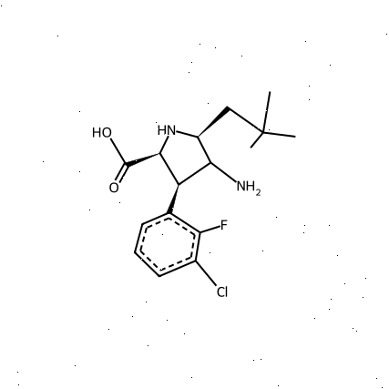 CC(C)(C)C[C@@H]1N[C@H](C(=O)O)[C@H](c2cccc(Cl)c2F)C1N